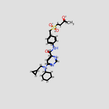 CC(=O)CCS(=O)(=O)Cc1ccc(NC(=O)c2cc(N(CC3CC3)C3CCCCC3)ncn2)cc1